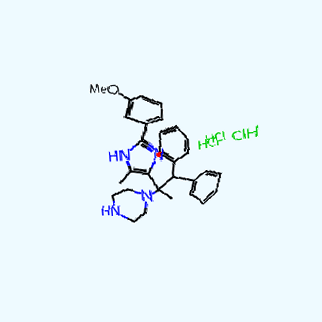 COc1cccc(-c2nc(C(C)(C(c3ccccc3)c3ccccc3)N3CCNCC3)c(C)[nH]2)c1.Cl.Cl.Cl